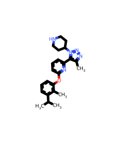 Cc1nnn(C2CCNCC2)c1-c1cccc(Oc2cccc(C(C)C)c2C)n1